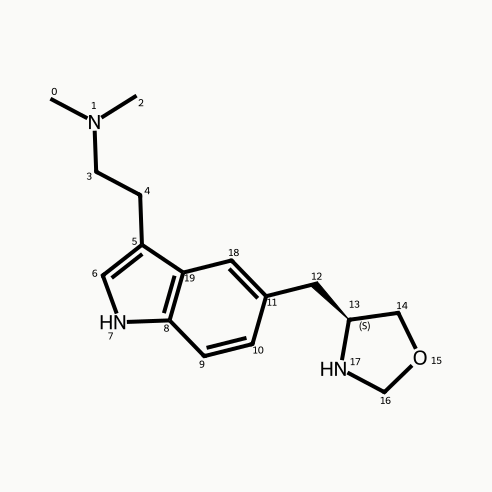 CN(C)CCc1c[nH]c2ccc(C[C@H]3COCN3)cc12